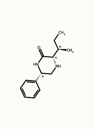 CC[C@@H](C)[C@@H]1NC[C@H](c2ccccc2)NC1=O